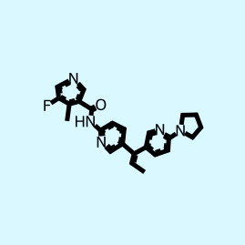 CC=C(c1ccc(NC(=O)c2cncc(F)c2C)nc1)c1ccc(N2CCCC2)nc1